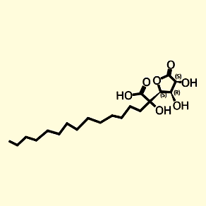 CCCCCCCCCCCCCCC(O)(C(=O)O)[C@H]1OC(=O)[C@@H](O)[C@H]1O